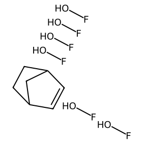 C1=CC2CCC1C2.OF.OF.OF.OF.OF.OF